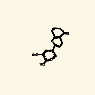 COc1cc(C2=CCC3=C(N=CCC3=O)O2)ccc1O